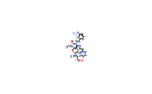 CCCn1c(=O)c2c(nc(Cc3ncccn3)n2CCN(CC)CCO)n(CCc2cccc(N)c2)c1=O